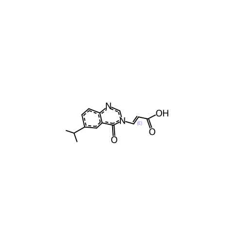 CC(C)c1ccc2ncn(/C=C/C(=O)O)c(=O)c2c1